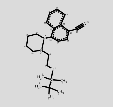 CC(C)(C)[Si](C)(C)OCCN1CCCCN1c1ccc(C#N)c2ccccc12